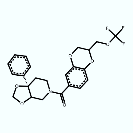 O=C(c1ccc2c(c1)OCC(COC(F)(F)F)O2)N1CC[C@]2(c3ccccc3)OCOC2C1